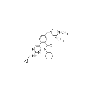 C[C@@H]1CN(Cc2ccc3c(c2)c(=O)n(C2CCCCC2)c2nc(NCC4CC4)ncc32)CCN1C